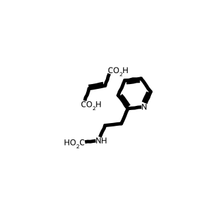 O=C(O)C=CC(=O)O.O=C(O)NCCc1ccccn1